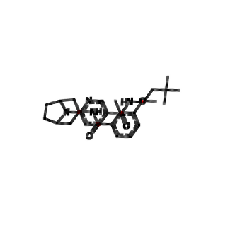 COc1cccc(C(=O)NC2CC3CCC(C2)N3c2ccc(C(=O)NCCC(C)(C)C)cn2)c1C